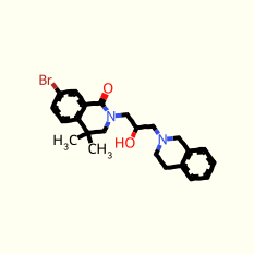 CC1(C)CN(CC(O)CN2CCc3ccccc3C2)C(=O)c2cc(Br)ccc21